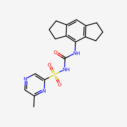 Cc1cncc(S(=O)(=O)NC(=O)Nc2c3c(cc4c2CCC4)CCC3)n1